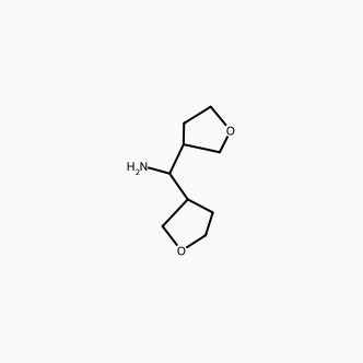 NC(C1CCOC1)C1CCOC1